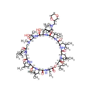 CC(C)C[C@@H]1C(=O)N[C@H](CC(C)C)C(=O)N(C)[C@H](C(C)C)C(=O)N(C)[C@H]([C@H](O)[C@H](C)CCN(C)CC2COCCO2)C(=O)N[C@H]([C@@H](C)O)C(=O)N(C)CC(=O)N(C)[C@@H](CC(C)C)C(=O)N[C@H](CC(C)C)C(=O)N(C)[C@H](CC(C)C)C(=O)N[C@H](C)C(=O)O[C@@H](C(C)C)C(=O)N1C